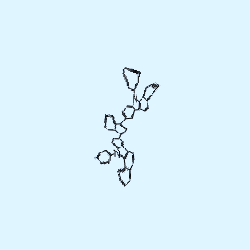 c1ccc(-n2c3ccc(-c4ccc(-c5ccc6c(c5)c5ccc7ccccc7c5n6-c5ccccc5)c5ccccc45)cc3c3ccc4ccccc4c32)cc1